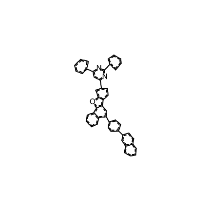 c1ccc(-c2cc(-c3ccc4c(c3)oc3c5ccccc5c(-c5ccc(-c6ccc7ccccc7c6)cc5)cc43)nc(-c3ccccc3)n2)cc1